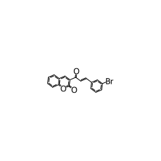 O=C(C=Cc1cccc(Br)c1)c1cc2ccccc2oc1=O